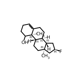 C[C@]12CC[C@H]3[C@@H](CCC4=CCCC(O)[C@@]43C)[C@@H]1C[C@@H](F)C2